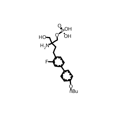 CCCCOc1ccc(-c2ccc(CCC(N)(CO)COP(=O)(O)O)c(F)c2)cc1